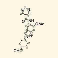 COc1cc2nn(C3CCC(C=O)CC3)cc2cc1NC(=O)c1cncnc1